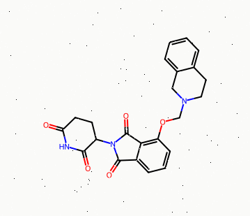 O=C1CCC(N2C(=O)c3cccc(OCN4CCc5ccccc5C4)c3C2=O)C(=O)N1